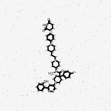 CN(C(=O)C1(c2ccc(F)cc2)CCN(c2cnnc(-c3ccccc3O)c2)CC1)C1CCN(CCC2CCN(c3ccc([C@H]4CCC(=O)NC4=O)cc3)CC2)CC1